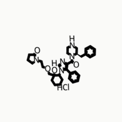 Cl.O=C1CCCN1CCOCC1(O)CCCCC1n1cnc(C(=O)N2CCNC[C@H]2Cc2ccccc2)c1-c1ccccc1